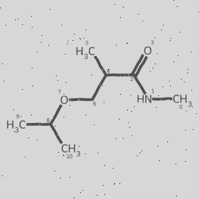 CNC(=O)C(C)COC(C)C